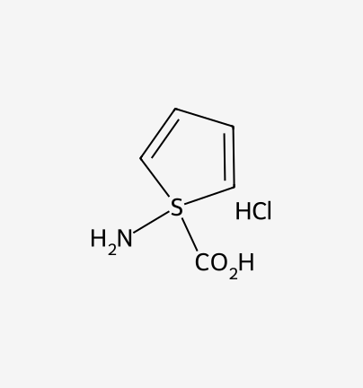 Cl.NS1(C(=O)O)C=CC=C1